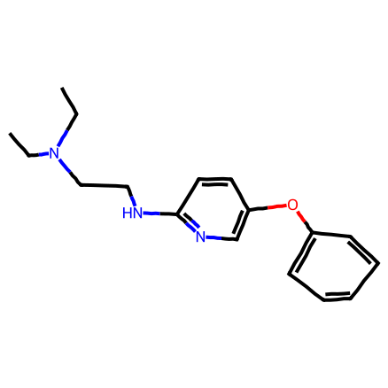 CCN(CC)CCNc1ccc(Oc2ccccc2)cn1